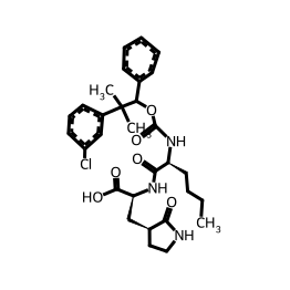 CCCC[C@H](NC(=O)OC(c1ccccc1)C(C)(C)c1cccc(Cl)c1)C(=O)N[C@@H](C[C@@H]1CCNC1=O)C(=O)O